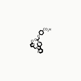 O=C(CO[C@H]1CC[C@@H](C(=O)O)CC1)N1CCc2c(n(Cc3ccc(Cl)s3)c3ncccc23)C1